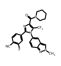 Cn1cc2cc(-n3c(-c4ccc(C#N)c(F)c4)nc(C(=O)N4CCCCC4)c3C(F)(F)F)ccc2n1